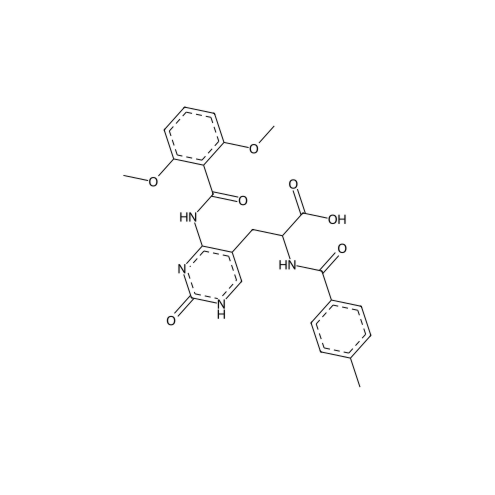 COc1cccc(OC)c1C(=O)Nc1nc(=O)[nH]cc1CC(NC(=O)c1ccc(C)cc1)C(=O)O